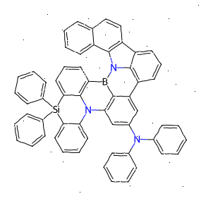 c1ccc(N(c2ccccc2)c2cc3c4c(c2)N2c5ccccc5[Si](c5ccccc5)(c5ccccc5)c5cccc(c52)B4n2c4c-3cccc4c3ccc4ccccc4c32)cc1